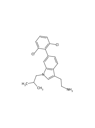 CC(C)Cn1cc(CCN)c2ccc(-c3c(Cl)cccc3Cl)cc21